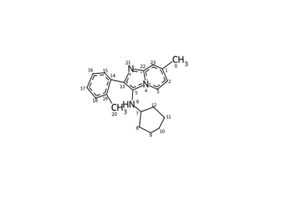 Cc1ccn2c(NC3CCCCC3)c(-c3ccccc3C)nc2c1